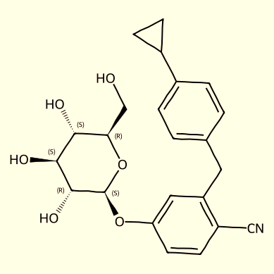 N#Cc1ccc(O[C@@H]2O[C@H](CO)[C@@H](O)[C@H](O)[C@H]2O)cc1Cc1ccc(C2CC2)cc1